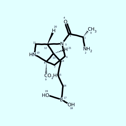 C[C@H](N)C(=O)N1CC[C@@]2(C(=O)O)NC[C@H]1[C@H]2CCCB(O)O